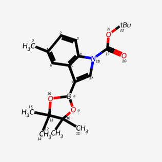 Cc1ccc2c(c1)c(B1OC(C)(C)C(C)(C)O1)cn2C(=O)OC(C)(C)C